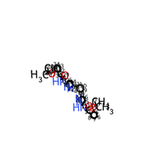 CC(C)Oc1ccccc1CC(=O)Nc1ccc([C@H]2CCC[C@H](c3ccc(NC(=O)Cc4ccccc4OC(C)C)nn3)C2)nn1